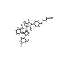 COCCOc1ccc(C2NC(=O)N([C@H](c3ncc(-c4ccc(I)cc4F)[nH]3)[C@@H](C)c3ccccc3)C2=O)cc1